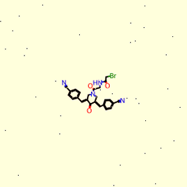 N#Cc1ccc(/C=C2\CN(C(=O)CNC(=O)CBr)C/C(=C\c3ccc(C#N)cc3)C2=O)cc1